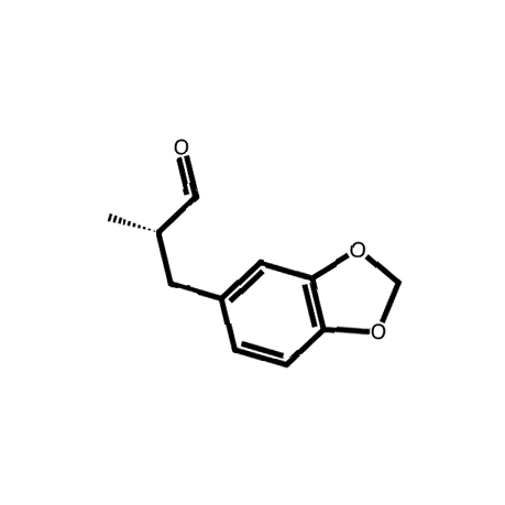 C[C@H](C=O)Cc1ccc2c(c1)OCO2